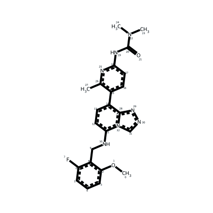 COc1cccc(F)c1CNc1ccc(-c2ccc(NC(=O)N(C)C)nc2C)c2nncn12